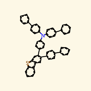 c1ccc(-c2ccc(-c3cc4c(cc3-c3ccc(N(c5ccc(-c6ccccc6)cc5)c5ccc(-c6ccccc6)cc5)cc3)sc3ccccc34)cc2)cc1